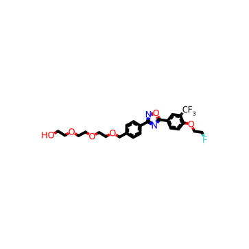 OCCOCCOCCOCc1ccc(-c2noc(-c3ccc(OCCF)c(C(F)(F)F)c3)n2)cc1